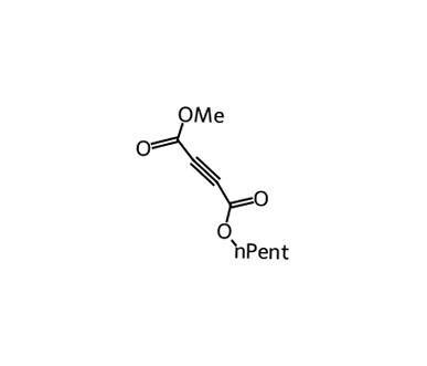 CCCCCOC(=O)C#CC(=O)OC